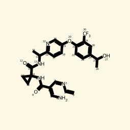 C=C/N=C\C(=C/N)C(=O)NC1(C(=O)NC(C)c2ccc(Oc3ccc(C(C)O)cc3C(F)(F)F)cn2)CC1